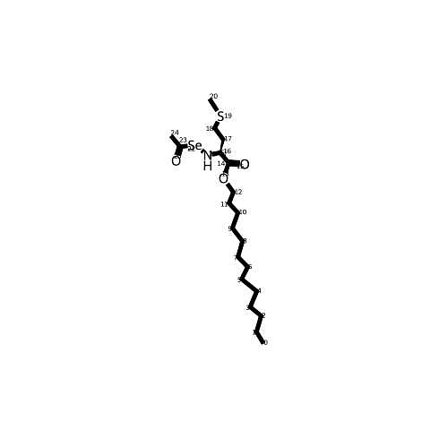 CCCCCCCCCCCCCOC(=O)[C@H](CCSC)N[Se]C(C)=O